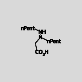 CCCCCNN(CCCCC)CC(=O)O